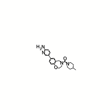 CC1CCN(C(=O)N2CCOc3ccc(-c4ccc(N)nc4)cc3C2)CC1